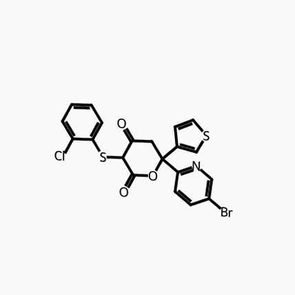 O=C1CC(c2ccsc2)(c2ccc(Br)cn2)OC(=O)C1Sc1ccccc1Cl